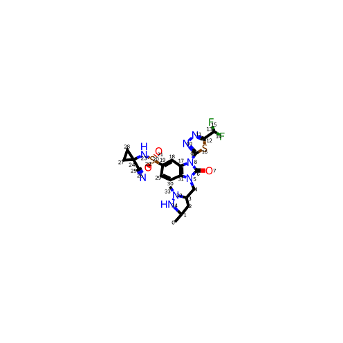 CC1CC(Cn2c(=O)n(-c3nnc(C(F)F)s3)c3cc(S(=O)(=O)NC4(C#N)CC4)ccc32)N(C)N1